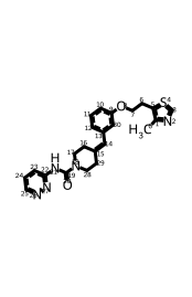 Cc1ncsc1CCOc1cccc(C=C2CCN(C(=O)Nc3cccnn3)CC2)c1